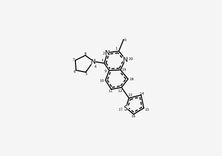 Cc1nc(N2CCCC2)c2ccc(-c3cccs3)cc2n1